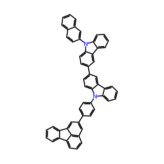 c1ccc2c(c1)-c1cccc3cc(-c4ccc(-n5c6ccccc6c6cc(-c7ccc8c(c7)c7ccccc7n8-c7ccc8ccccc8c7)ccc65)cc4)cc-2c13